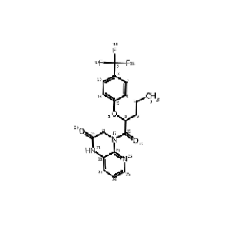 CCCC(Oc1ccc(C(F)(F)F)cc1)C(=O)N1CC(=O)Nc2cccnc21